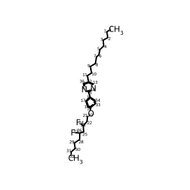 CCCCCCCCCCCCc1cnc(-c2ccc(OCCC(F)CC(F)CCCCC)cc2)nc1